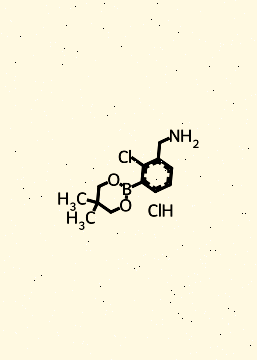 CC1(C)COB(c2cccc(CN)c2Cl)OC1.Cl